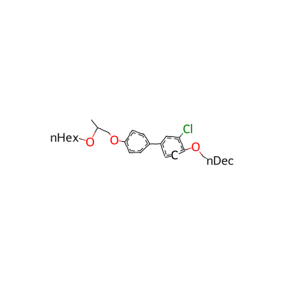 CCCCCCCCCCCOc1ccc(-c2ccc(OCC(C)OCCCCCC)cc2)cc1Cl